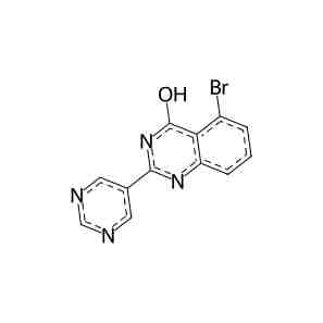 Oc1nc(-c2cncnc2)nc2cccc(Br)c12